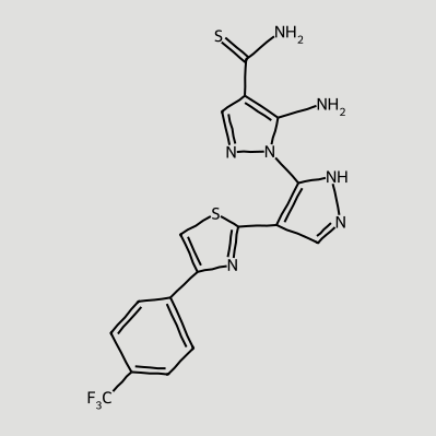 NC(=S)c1cnn(-c2[nH]ncc2-c2nc(-c3ccc(C(F)(F)F)cc3)cs2)c1N